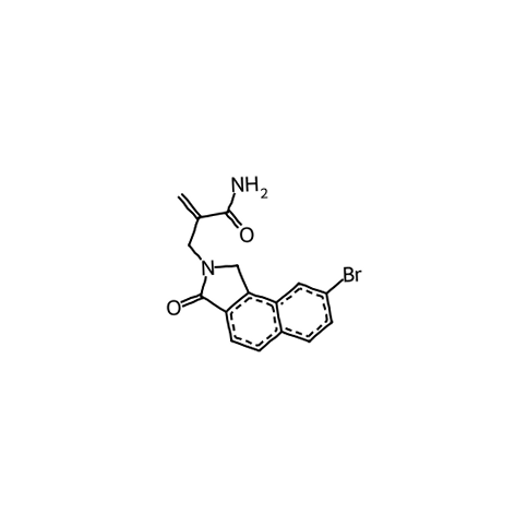 C=C(CN1Cc2c(ccc3ccc(Br)cc23)C1=O)C(N)=O